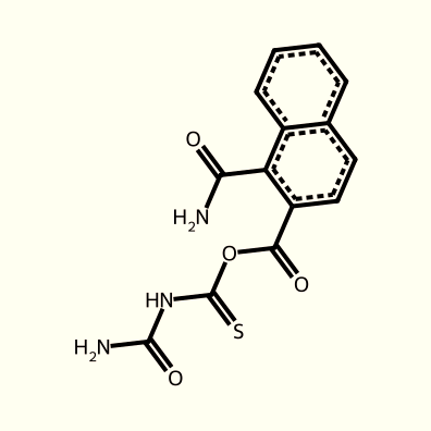 NC(=O)NC(=S)OC(=O)c1ccc2ccccc2c1C(N)=O